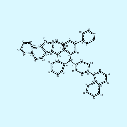 c1ccc(-c2cccc(N(c3ccc(-c4cccc5ccccc45)cc3)c3ccccc3-c3cccc4oc5c6ccccc6ccc5c34)c2)cc1